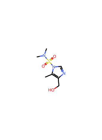 Cc1c(CO)ncn1S(=O)(=O)N(C)C